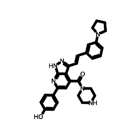 O=C(c1cc(-c2ccc(O)cc2)nc2[nH]nc(/C=C/c3cccc(N4CCCC4)c3)c12)N1CCNCC1